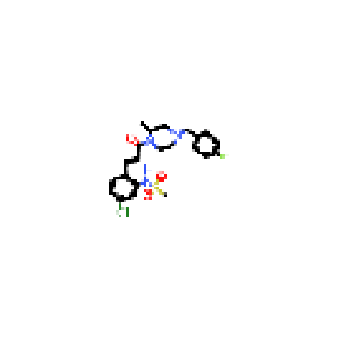 CC1CN(Cc2ccc(F)cc2)CCN1C(=O)C=Cc1ccc(Cl)cc1NS(C)(=O)=O